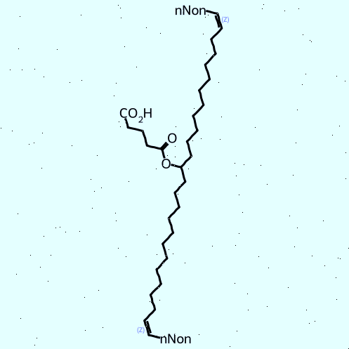 CCCCCCCCC/C=C\CCCCCCCCCCCC(CCCCCCCCCC/C=C\CCCCCCCCC)OC(=O)CCCC(=O)O